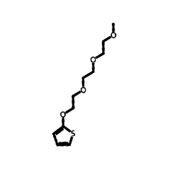 COCCOCCOCCOc1cccs1